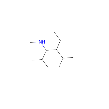 CCC(C(C)C)C(NC)C(C)C